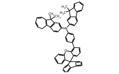 CC1(C)C2=C(CC=CC=C2)c2ccc(N(c3ccc(-c4cccc5c4Oc4ccccc4C54c5ccccc5-c5ccccc54)cc3)c3ccc4c(c3)C(C)(C)c3ccccc3-4)cc21